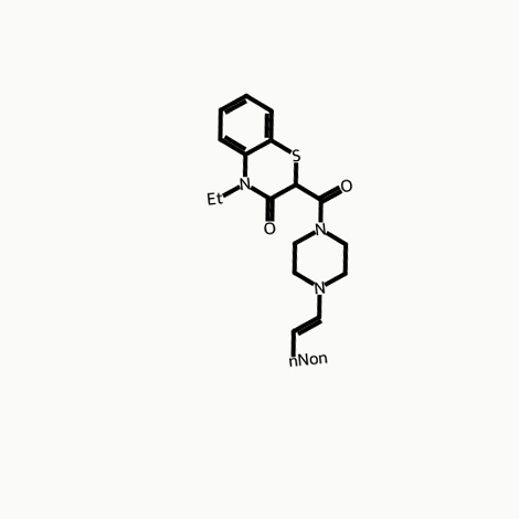 CCCCCCCCCC=CN1CCN(C(=O)C2Sc3ccccc3N(CC)C2=O)CC1